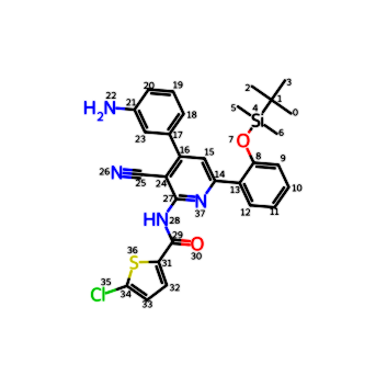 CC(C)(C)[Si](C)(C)Oc1ccccc1-c1cc(-c2cccc(N)c2)c(C#N)c(NC(=O)c2ccc(Cl)s2)n1